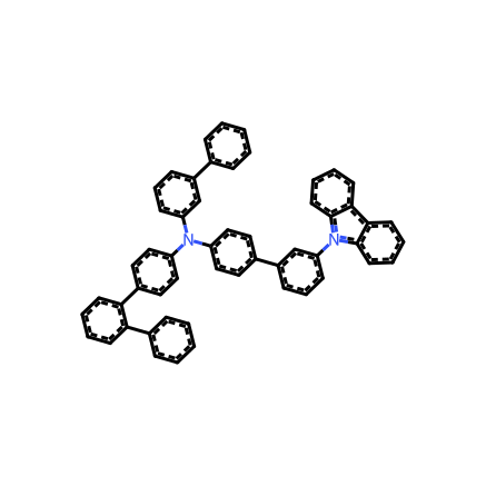 c1ccc(-c2cccc(N(c3ccc(-c4cccc(-n5c6ccccc6c6ccccc65)c4)cc3)c3ccc(-c4ccccc4-c4ccccc4)cc3)c2)cc1